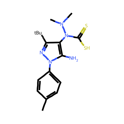 Cc1ccc(-n2nc(C(C)(C)C)c(N(C(=S)S)N(C)C)c2N)cc1